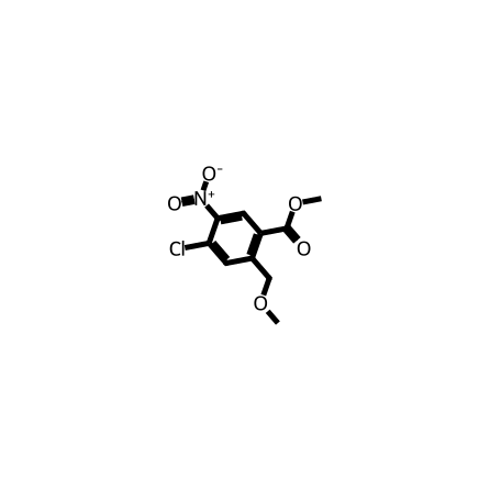 COCc1cc(Cl)c([N+](=O)[O-])cc1C(=O)OC